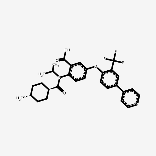 CC(C)N(c1ccc(Oc2ccc(-c3ccncc3)cc2C(F)(F)F)cc1C(=O)O)C(=O)[C@H]1CC[C@H](C)CC1